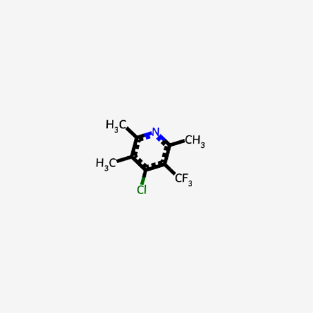 Cc1nc(C)c(C(F)(F)F)c(Cl)c1C